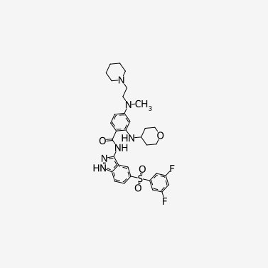 CN(CCN1CCCCC1)c1ccc(C(=O)Nc2n[nH]c3ccc(S(=O)(=O)c4cc(F)cc(F)c4)cc23)c(NC2CCOCC2)c1